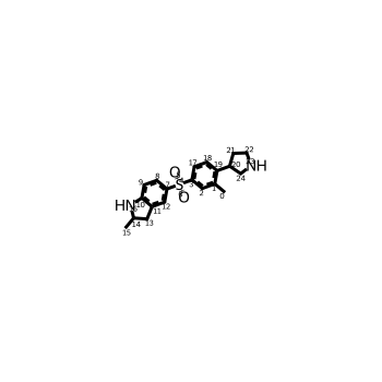 Cc1cc(S(=O)(=O)c2ccc3c(c2)CC(C)N3)ccc1C1CCNC1